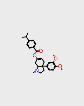 COc1ccc(C23CC=C(OC(=O)c4ccc(C(C)C)cc4)CC2N(C)CC3)cc1OC